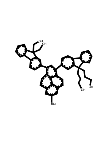 CC(C)(C)c1cc2ccc3c(-c4ccc5c(c4)C(CO)(CO)c4ccccc4-5)cc(-c4ccc5c(c4)C(CCCO)(CCCO)c4ccccc4-5)c4ccc(c1)c2c34